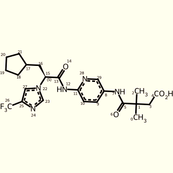 CC(C)(CC(=O)O)C(=O)Nc1ccc(NC(=O)[C@H](CC2CCCC2)n2cnc(C(F)(F)F)c2)nc1